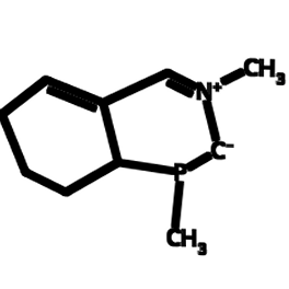 C[N+]1=CC2=CCCCC2P(C)[CH-]1